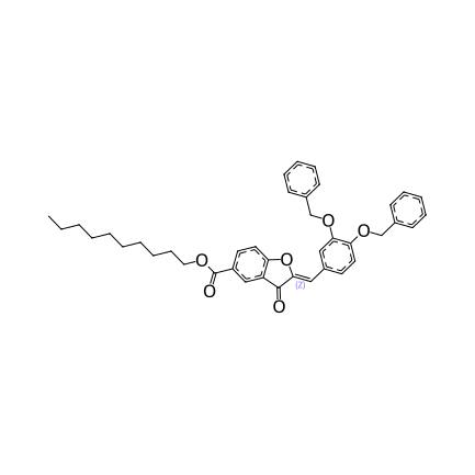 CCCCCCCCCCOC(=O)c1ccc2c(c1)C(=O)/C(=C/c1ccc(OCc3ccccc3)c(OCc3ccccc3)c1)O2